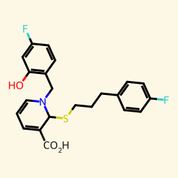 O=C(O)C1=CC=CN(Cc2ccc(F)cc2O)C1SCCCc1ccc(F)cc1